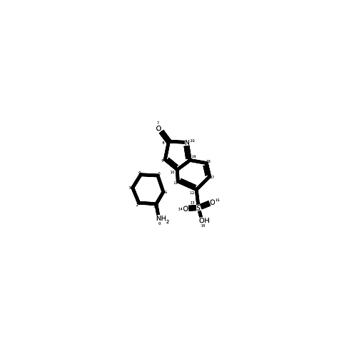 NC1CCCCC1.O=C1C=c2cc(S(=O)(=O)O)ccc2=N1